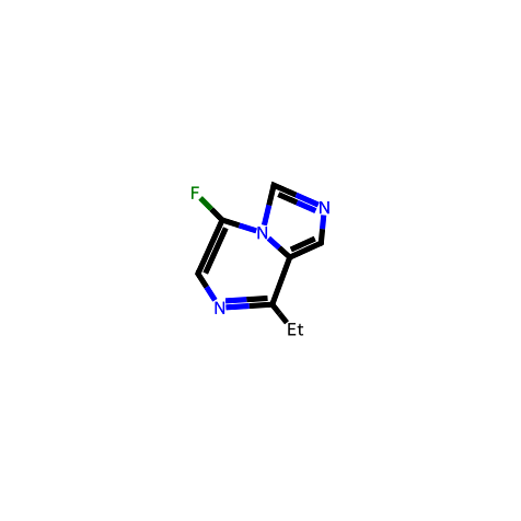 CCc1ncc(F)n2cncc12